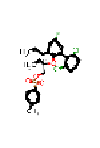 C=CCc1cc(F)cc(-c2c(Cl)cccc2Cl)c1O[C@H](C=C)COS(=O)(=O)c1ccc(C)cc1